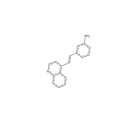 Nc1cccc(C=Cc2ccnc3ccccc23)c1